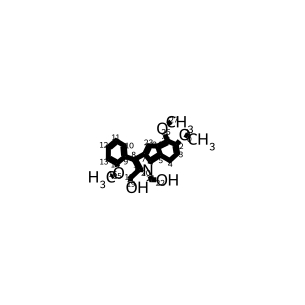 COC1=CCC2=c3c(c(-c4ccccc4OC)c(CO)n3CO)=CC2=C1OC